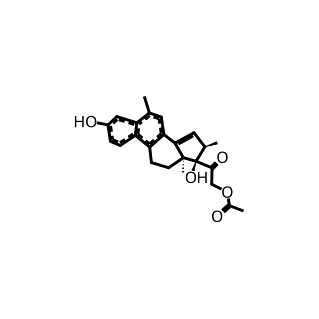 CC(=O)OCC(=O)[C@@]1(O)[C@H](C)C=C2c3cc(C)c4cc(O)ccc4c3CC[C@@]21C